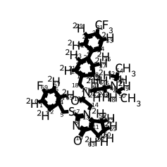 [2H]c1c([2H])c(CSc2nc(=O)c3c(n2CC(=O)N(Cc2c([2H])c([2H])c(-c4c([2H])c([2H])c(C(F)(F)F)c([2H])c4[2H])c([2H])c2[2H])C([2H])([2H])C([2H])([2H])N(C([2H])([2H])C)C([2H])([2H])C)C([2H])([2H])C([2H])([2H])C3([2H])[2H])c([2H])c([2H])c1F